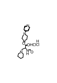 Cl.Cl.O=CNC(CN1CCCCC1)C(=O)ON1CCN(c2ccncc2)CC1